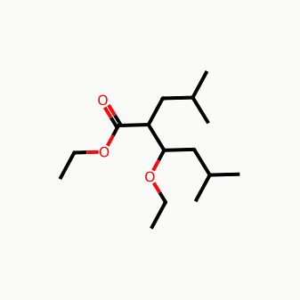 CCOC(=O)C(CC(C)C)C(CC(C)C)OCC